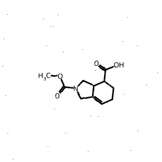 COC(=O)N1CC2=CCCC(C(=O)O)C2C1